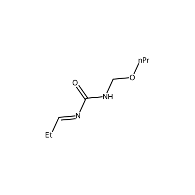 CCC=NC(=O)NCOCCC